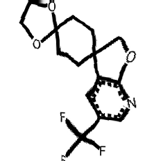 FC(F)(F)c1cnc2c(c1)C1(CCC3(CC1)OCCO3)CO2